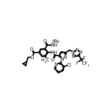 Cc1cc(C(=O)OCC2CC2)cc(C(=O)NC(C)(C)C)c1NC(=O)c1cc(Cn2nnc(C(F)(F)C(F)(F)F)n2)nn1-c1ncccc1Cl